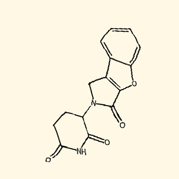 O=C1CCC(N2Cc3c(oc4ccccc34)C2=O)C(=O)N1